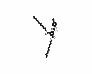 C#Cc1ccc(NC(=O)Nc2cc(C(=O)OCCCCCCCCCCCC)cc(C(=O)OCCCCCCCCCCCC)c2)cc1